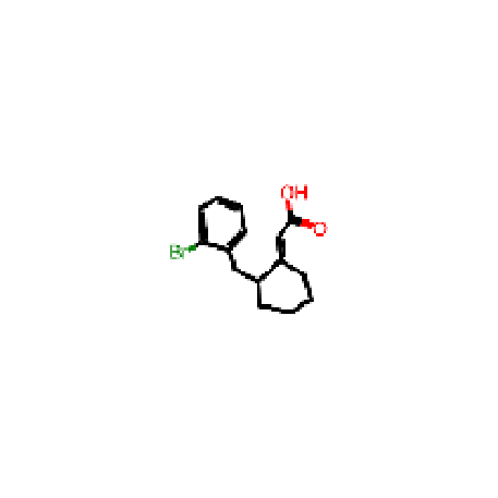 O=C(O)C=C1CCCCC1Cc1ccccc1Br